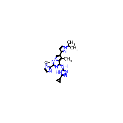 Cc1c(-c2ccn(C(C)C)n2)cn2nc(-c3nccn3C)nc(Nc3nnc(C4CC4)[nH]3)c12